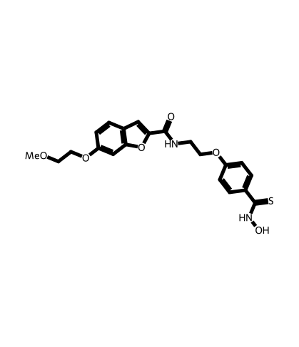 COCCOc1ccc2cc(C(=O)NCCOc3ccc(C(=S)NO)cc3)oc2c1